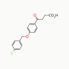 O=C(O)CCC(=O)c1ccc(OCc2ccc(F)cc2)cc1